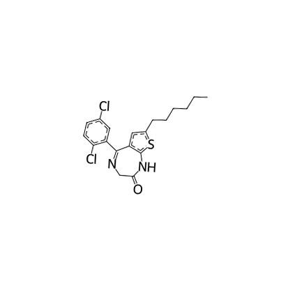 CCCCCCc1cc2c(s1)NC(=O)CN=C2c1cc(Cl)ccc1Cl